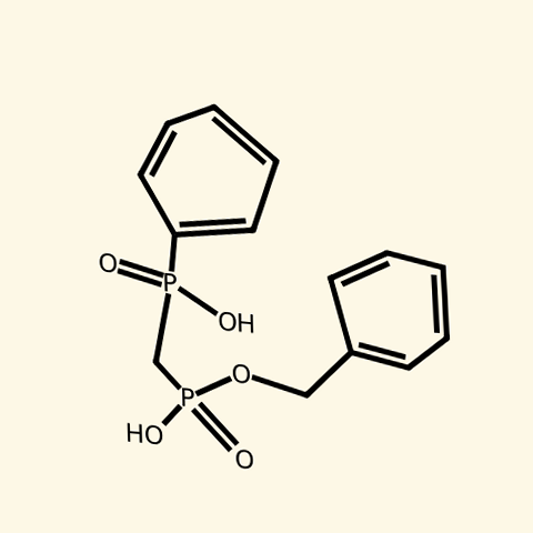 O=P(O)(CP(=O)(O)c1ccccc1)OCc1ccccc1